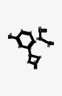 Brc1cccc(C2CNC2)c1.CC(C)(C)OC=O